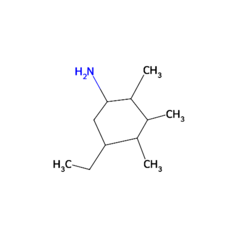 CCC1CC(N)C(C)C(C)C1C